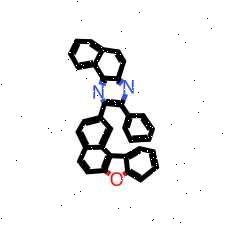 c1ccc(-c2nc3ccc4ccccc4c3nc2-c2ccc3ccc4oc5ccccc5c4c3c2)cc1